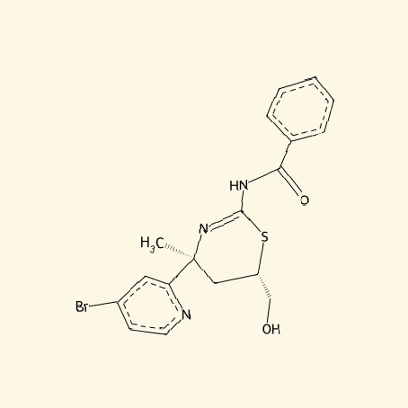 C[C@@]1(c2cc(Br)ccn2)C[C@@H](CO)SC(NC(=O)c2ccccc2)=N1